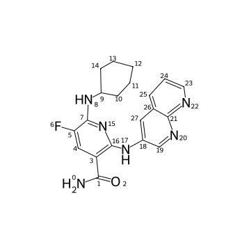 NC(=O)c1cc(F)c(NC2CCCCC2)nc1Nc1cnc2ncccc2c1